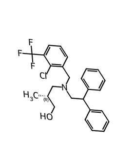 C[C@@H](CO)CN(Cc1cccc(C(F)(F)F)c1Cl)CC(c1ccccc1)c1ccccc1